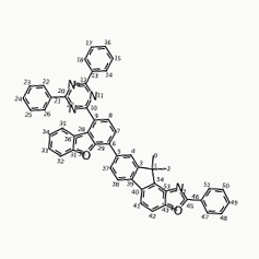 CC1(C)c2cc(-c3ccc(-c4nc(-c5ccccc5)nc(-c5ccccc5)n4)c4c3oc3ccccc34)ccc2-c2ccc3oc(-c4ccccc4)nc3c21